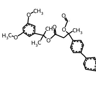 COc1cc(OC)cc(C(C)(C)OC(=O)CC(C)(O[C]=O)c2ccc(-c3ccccc3)cc2)c1